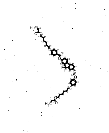 C=CC(=O)OCCCCCCOc1ccc(OCOc2ccc3c(c2)C(F)(F)c2cc(OC(=O)c4ccc(OCCCCCCOC(=O)C=C)cc4)ccc2-3)cc1